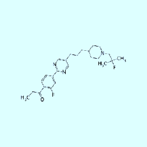 CCC(=O)c1ccc(-c2ncc(CCCC3CCN(CC(C)(C)F)CC3)cn2)cc1F